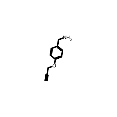 C#CCOc1ccc(CN)cc1